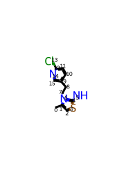 Cc1csc(=N)n1CCc1ccc(Cl)nc1